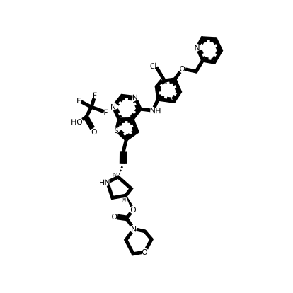 O=C(O)C(F)(F)F.O=C(O[C@H]1CN[C@H](C#Cc2cc3c(Nc4ccc(OCc5ccccn5)c(Cl)c4)ncnc3s2)C1)N1CCOCC1